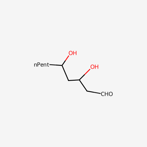 CCCCCC(O)CC(O)CC=O